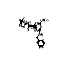 CC(C)Oc1nc(NCc2ccccc2)nc(C(=O)Nc2nncs2)n1